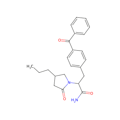 CCCC1CC(=O)N(C(Cc2ccc(C(=O)c3ccccc3)cc2)C(N)=O)C1